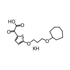 O=C(O)C(=O)c1ccc(OCCCOC2CCCCCC2)s1.[KH]